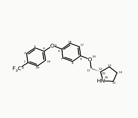 FC(F)(F)c1ccc(Oc2ccc(OC[C@@H]3CCCN3)cc2)cc1